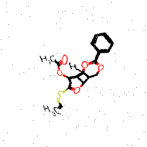 CCS[C@@H]1OC2C3COC(c4ccccc4)O[C@H]3C2C1OC(C)=O